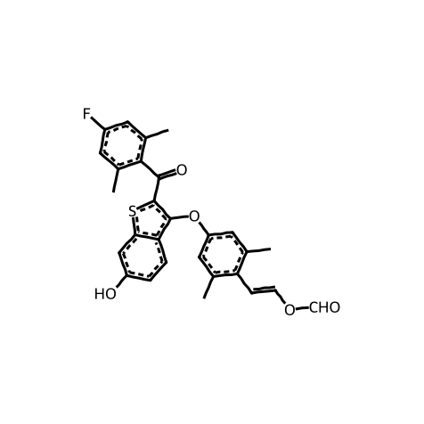 Cc1cc(Oc2c(C(=O)c3c(C)cc(F)cc3C)sc3cc(O)ccc23)cc(C)c1/C=C/OC=O